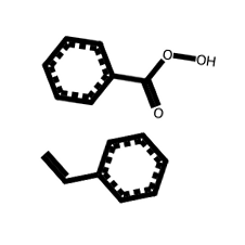 C=Cc1ccccc1.O=C(OO)c1ccccc1